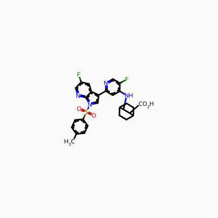 Cc1ccc(S(=O)(=O)n2cc(-c3cc(NC4C5CCC(CC5)C4C(=O)O)c(F)cn3)c3cc(F)cnc32)cc1